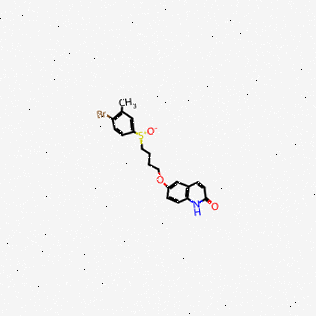 Cc1cc([S+]([O-])CCCCOc2ccc3[nH]c(=O)ccc3c2)ccc1Br